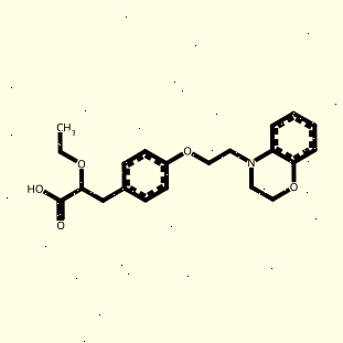 CCOC(Cc1ccc(OCCN2CCOc3ccccc32)cc1)C(=O)O